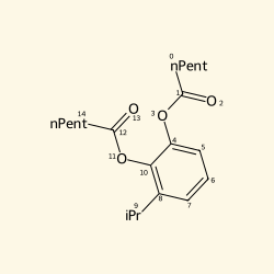 CCCCCC(=O)Oc1cccc(C(C)C)c1OC(=O)CCCCC